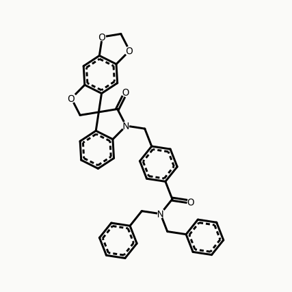 O=C(c1ccc(CN2C(=O)C3(COc4cc5c(cc43)OCO5)c3ccccc32)cc1)N(Cc1ccccc1)Cc1ccccc1